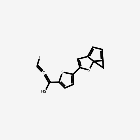 SC(=C=CI)c1ccc(C2=CC3=CC=C4CC34S2)s1